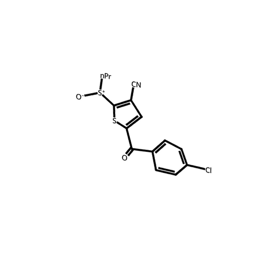 CCC[S+]([O-])c1sc(C(=O)c2ccc(Cl)cc2)cc1C#N